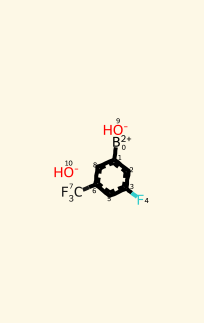 [B+2]c1cc(F)cc(C(F)(F)F)c1.[OH-].[OH-]